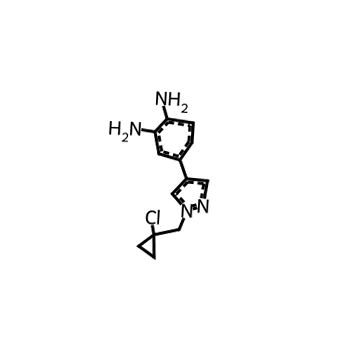 Nc1ccc(-c2cnn(CC3(Cl)CC3)c2)cc1N